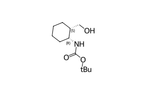 CC(C)(C)OC(=O)N[C@@H]1CCCC[C@@H]1CO